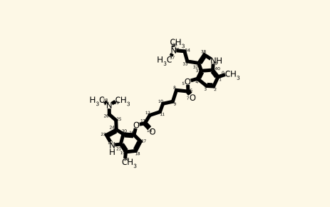 Cc1ccc(OC(=O)CCCCCC(=O)Oc2ccc(C)c3[nH]cc(CCN(C)C)c23)c2c(CCN(C)C)c[nH]c12